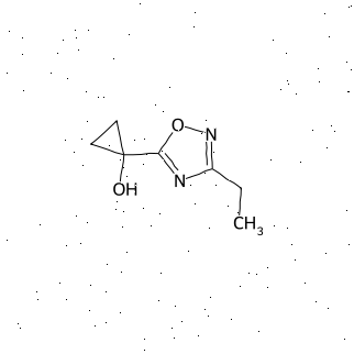 CCc1noc(C2(O)CC2)n1